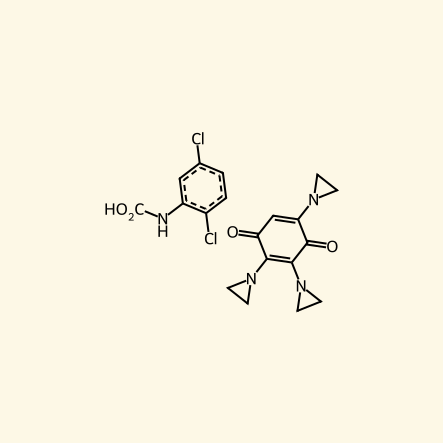 O=C(O)Nc1cc(Cl)ccc1Cl.O=C1C=C(N2CC2)C(=O)C(N2CC2)=C1N1CC1